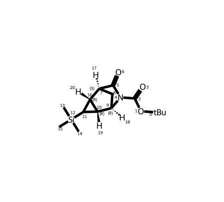 CC(C)(C)OC(=O)N1C(=O)[C@H]2C[C@@H]1[C@@H]1C([Si](C)(C)C)[C@@H]12